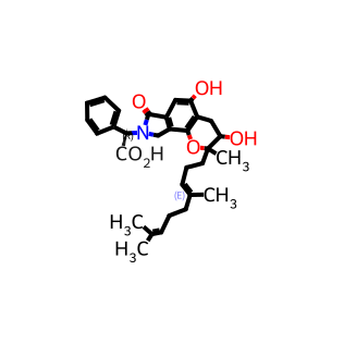 CC(C)=CCC/C(C)=C/CCC1(C)Oc2c(c(O)cc3c2CN([C@@H](C(=O)O)c2ccccc2)C3=O)CC1O